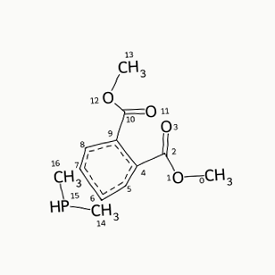 COC(=O)c1ccccc1C(=O)OC.CPC